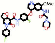 COc1cc2nccc(Oc3ccc(NC(=O)c4c5c(cn(-c6ccc(F)cc6)c4=O)CCO5)cc3F)c2cc1NC(=O)CN1CCOCC1